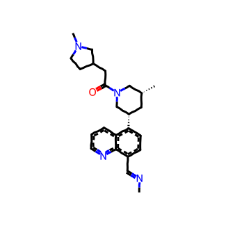 C/N=C/c1ccc([C@H]2C[C@@H](C)CN(C(=O)CC3CCN(C)C3)C2)c2cccnc12